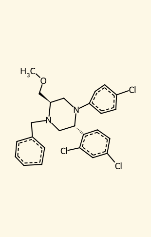 COC[C@H]1CN(c2ccc(Cl)cc2)[C@H](c2ccc(Cl)cc2Cl)CN1Cc1ccccc1